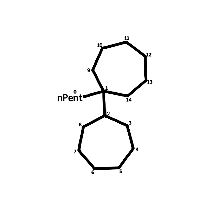 CCCCCC1(C2CCCCCC2)CCCCCC1